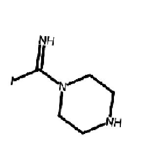 N=C(I)N1CCNCC1